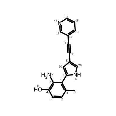 Cc1ccc(O)c(N)c1-c1cc(C#Cc2cccnc2)c[nH]1